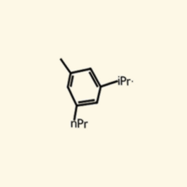 CCCc1cc(C)cc([C](C)C)c1